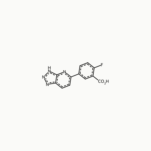 O=C(O)c1cc(-c2ccc3nn[nH]c3n2)ccc1F